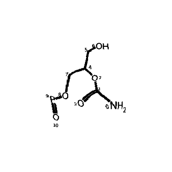 NC(=O)OC(CO)COP=O